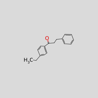 CCc1ccc(C(=O)CCc2ccccc2)cc1